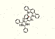 CN1C=C(C2NC(c3ccccc3)NC(c3ccccc3)N2)C=CC1n1c2ccccc2c2ccc3c4ccccc4n(-c4ccccc4)c3c21